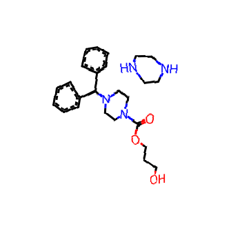 C1CNCCN1.O=C(OCCCO)N1CCN(C(c2ccccc2)c2ccccc2)CC1